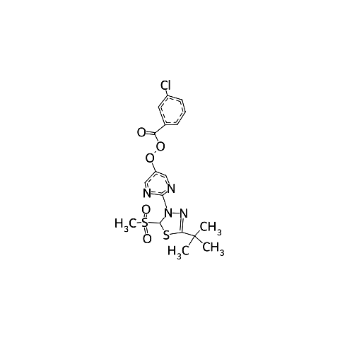 CC(C)(C)C1=NN(c2ncc(OOC(=O)c3cccc(Cl)c3)cn2)C(S(C)(=O)=O)S1